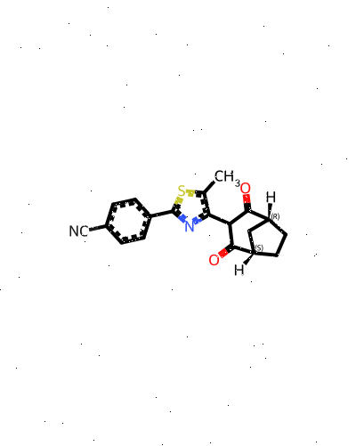 Cc1sc(-c2ccc(C#N)cc2)nc1C1C(=O)[C@@H]2CC[C@@H](C2)C1=O